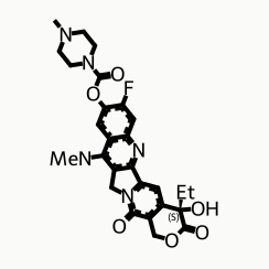 CC[C@@]1(O)C(=O)OCc2c1cc1n(c2=O)Cc2c-1nc1cc(F)c(OC(=O)N3CCN(C)CC3)cc1c2NC